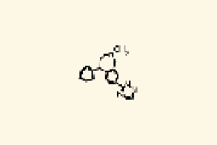 CN1CCC(c2ccccc2)c2ccc(-c3nccnn3)cc2C1